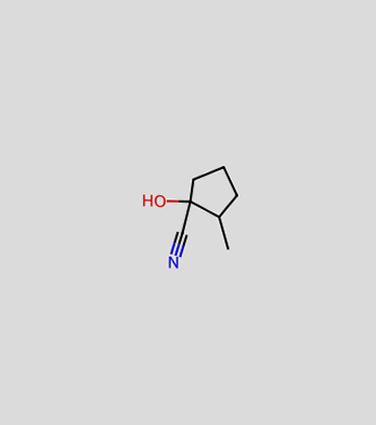 CC1CCCC1(O)C#N